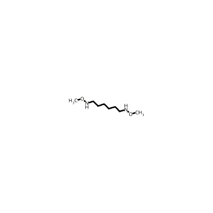 CONCCCCCCNOC